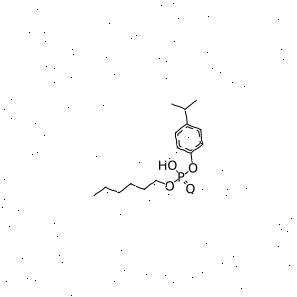 CCCCCCOP(=O)(O)Oc1ccc(C(C)C)cc1